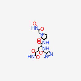 CNC(=O)C(=O)CC[C@H](NC(=O)c1cncn1C)C(=O)Nc1cccn(CC(=O)NCOC)c1=O